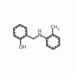 [CH2]c1ccccc1NCc1ccccc1O